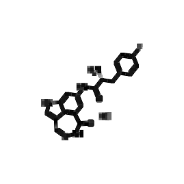 Cl.N[C@H](Cc1ccc(F)cc1)C(=O)Nc1cc2c3c(c[nH]c3c1)C=NNC2=O